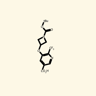 CC(C)(C)OC(=O)N1CC(Oc2cc(C(=O)O)cnc2C(F)(F)F)C1